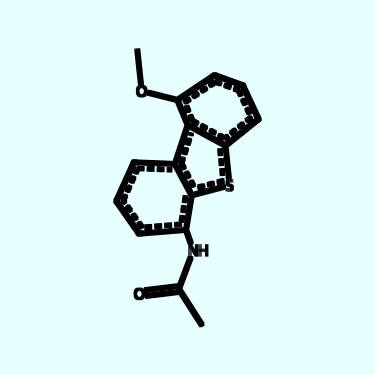 COc1cccc2sc3c(NC(C)=O)cccc3c12